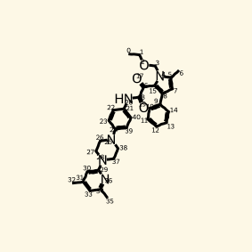 CCOCn1c(C)cc(-c2ccccc2)c1C(=O)C(=O)Nc1ccc(N2CCN(c3cc(C)cc(C)n3)CC2)cc1